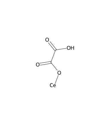 O=C(O)C(=O)[O][Ce]